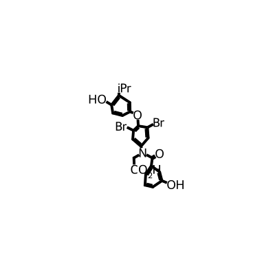 CC(C)c1cc(Oc2c(Br)cc(N(CC(=O)O)C(=O)c3cccc(O)c3)cc2Br)ccc1O